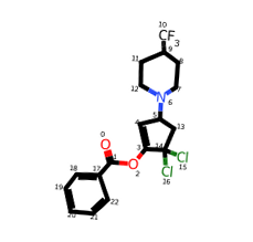 O=C(OC1=CC(N2CCC(C(F)(F)F)CC2)CC1(Cl)Cl)c1ccccc1